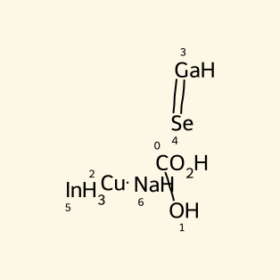 O=C(O)O.[Cu].[GaH]=[Se].[InH3].[NaH]